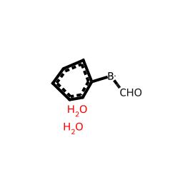 O.O.O=C[B]c1ccccc1